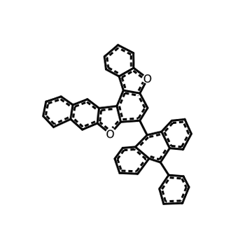 c1ccc(-c2c3ccccc3c(-c3cc4oc5ccccc5c4c4c3oc3cc5ccccc5cc34)c3ccccc23)cc1